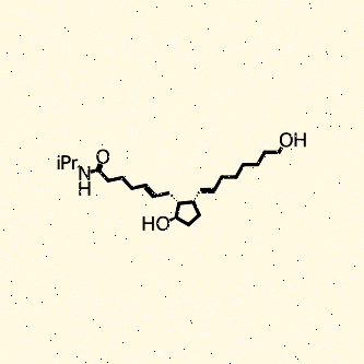 CC(C)NC(=O)CCCC=CC[C@H]1[C@H](O)CC[C@H]1C=CCCCCCCO